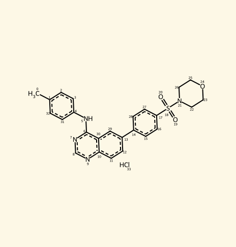 Cc1ccc(Nc2ncnc3ccc(-c4ccc(S(=O)(=O)N5CCOCC5)cc4)cc23)cc1.Cl